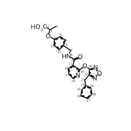 CC(Oc1ccc(CNC(=O)c2cccnc2Oc2nonc2Cc2ccccc2)cc1)C(=O)O